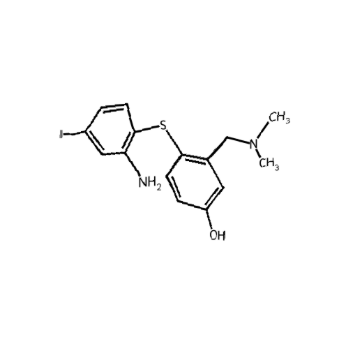 CN(C)Cc1cc(O)ccc1Sc1ccc(I)cc1N